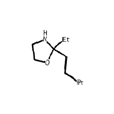 CCC1(CCC(C)C)NCCO1